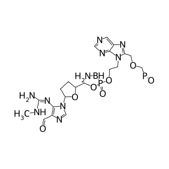 CN/C(N)=N\c1c(C=O)ncn1C1CCC(COP(=O)(BN)OCCn2c(COCP=O)nc3cncnc32)O1